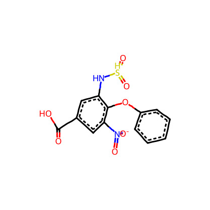 O=C(O)c1cc(N[SH](=O)=O)c(Oc2ccccc2)c([N+](=O)[O-])c1